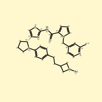 CC(=O)N1CC(CCc2ccc(N3CCC[C@@H]3c3csc(NC(=O)c4cccn4Cc4ccnc(F)c4)n3)cc2)C1